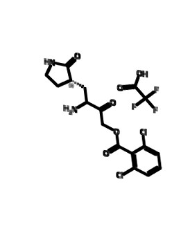 NC(C[C@@H]1CCNC1=O)C(=O)COC(=O)c1c(Cl)cccc1Cl.O=C(O)C(F)(F)F